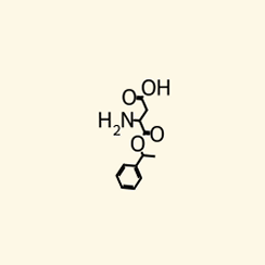 CC(OC(=O)C(N)CC(=O)O)c1ccccc1